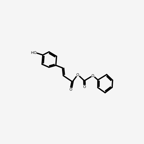 O=C(/C=C/c1ccc(O)cc1)OC(=O)Oc1ccccc1